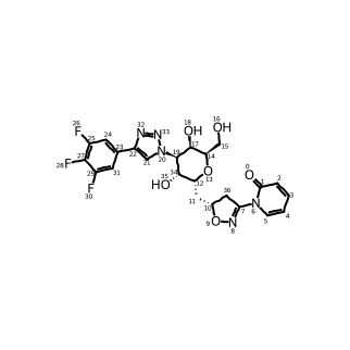 O=c1ccccn1C1=NO[C@H](C[C@H]2O[C@H](CO)[C@H](O)[C@H](n3cc(-c4cc(F)c(F)c(F)c4)nn3)[C@H]2O)C1